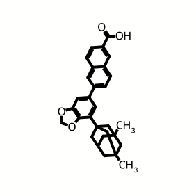 CC12CC3CC(C)(C1)CC(c1cc(-c4ccc5cc(C(=O)O)ccc5c4)cc4c1OCO4)(C3)C2